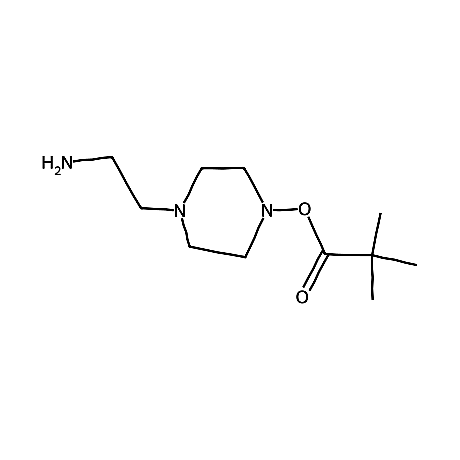 CC(C)(C)C(=O)ON1CCN(CCN)CC1